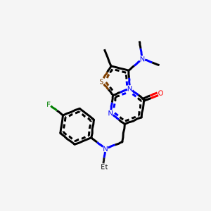 CCN(Cc1cc(=O)n2c(N(C)C)c(C)sc2n1)c1ccc(F)cc1